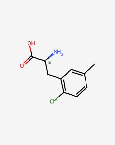 Cc1ccc(Cl)c(C[C@H](N)C(=O)O)c1